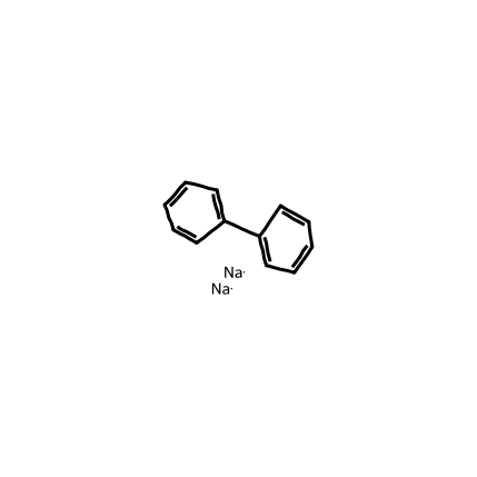 [Na].[Na].c1ccc(-c2ccccc2)cc1